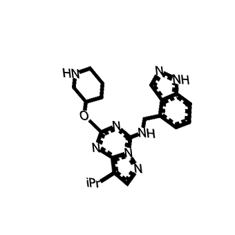 CC(C)c1cnn2c(NCc3cccc4[nH]ncc34)nc(OC3CCCNC3)nc12